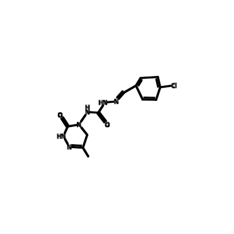 CC1=NNC(=O)N(NC(=O)N/N=C/c2ccc(Cl)cc2)C1